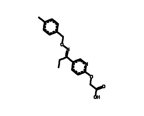 CC/C(=N\OCc1ccc(C)cc1)c1ccc(OCC(=O)O)nc1